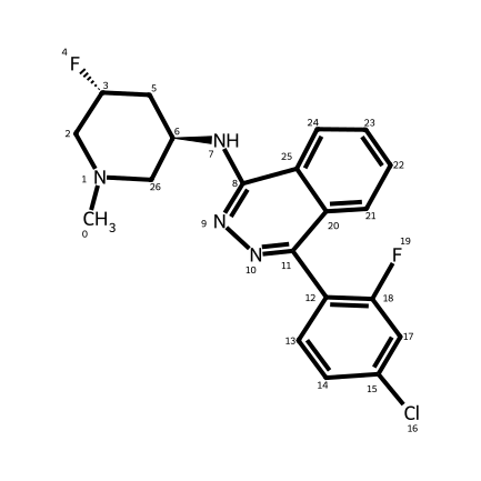 CN1C[C@H](F)C[C@@H](Nc2nnc(-c3ccc(Cl)cc3F)c3ccccc23)C1